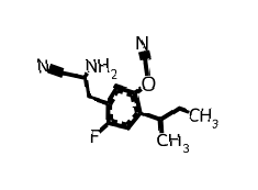 CCC(C)c1cc(F)c(CC(N)C#N)cc1OC#N